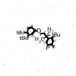 CC(C)(C)c1ccc(OCCC(C)(C)c2cc(F)c(F)cc2C(C)(C)C)cc1C(C)(C)C